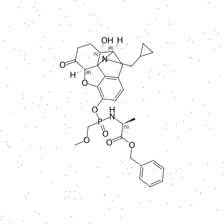 COCP(=O)(N[C@@H](C)C(=O)OCc1ccccc1)Oc1ccc2c3c1O[C@H]1C(=O)CC[C@@]4(O)[C@@H](C2)N(CC2CC2)CC314